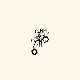 CC1(N[C@@H](CNC(N)=O)C(=O)OCc2ccccc2)NCCC=C1Cl